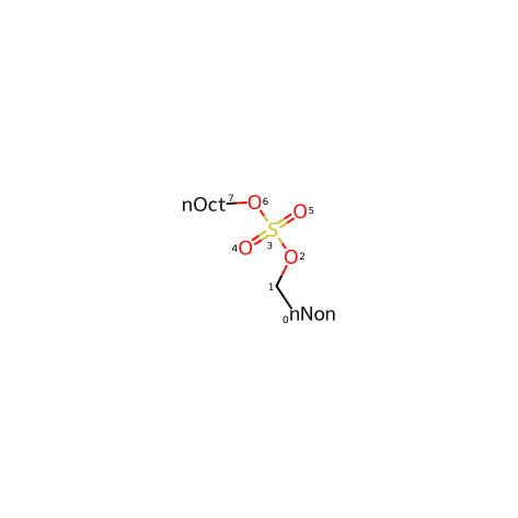 CCCCCCCCCCOS(=O)(=O)OCCCCCCCC